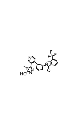 Cn1c(O)nnc1-c1cnccc1-c1cccc(N2Cc3c(cccc3C(F)(F)F)C2=O)c1